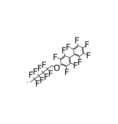 [CH2]C(F)(F)C(F)(F)C(F)(F)C(F)(F)COc1c(F)c(F)c(-c2c(F)c(F)c(F)c(F)c2F)c(F)c1F